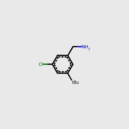 CC(C)(C)c1cc(Cl)[c]c(CN)c1